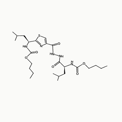 CCCCOC(=O)N[C@@H](CC(C)C)C(=O)NNC(=O)c1csc([C@H](CC(C)C)NC(=O)OCCCC)n1